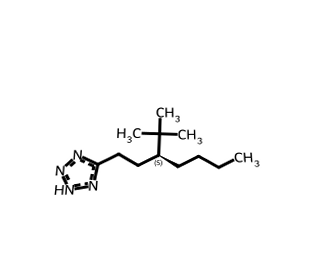 CCCC[C@@H](CCc1nn[nH]n1)C(C)(C)C